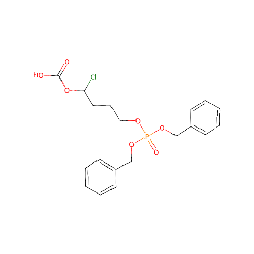 O=C(O)OC(Cl)CCCOP(=O)(OCc1ccccc1)OCc1ccccc1